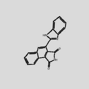 O=C1NC(=O)c2c1c(-c1nc3ccccc3[nH]1)cc1ccccc21